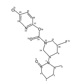 CC1CCCC(=O)N1C1CC(F)CN(C(=O)Oc2ccc(Cl)cn2)C1